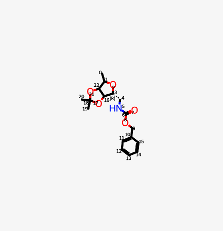 CC1O[C@H](CNC(=O)OCc2ccccc2)C2OC(C)(C)OC12